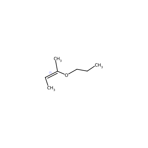 C/C=C(/C)OCCC